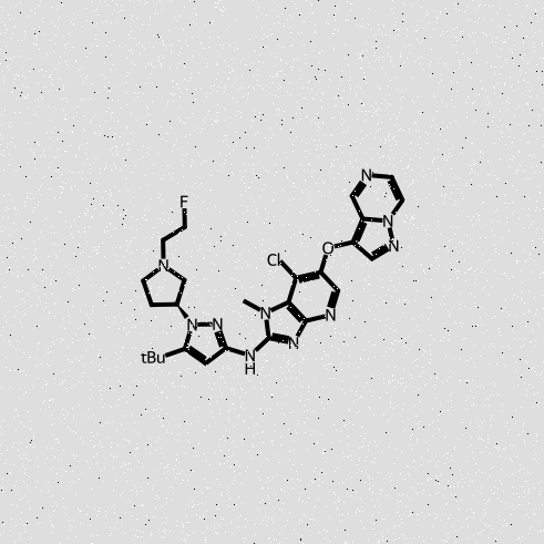 Cn1c(Nc2cc(C(C)(C)C)n([C@H]3CCN(CCF)C3)n2)nc2ncc(Oc3cnn4ccncc34)c(Cl)c21